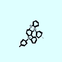 Cc1ccc(-n2c3ccccc3c3c4c(ccc32)Sc2ccccc2N4C2=CC[C@@H](C)C=C2)cc1